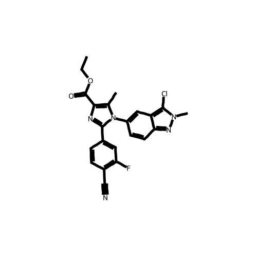 CCOC(=O)c1nc(-c2ccc(C#N)c(F)c2)n(-c2ccc3nn(C)c(Cl)c3c2)c1C